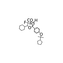 CC(C)(Oc1ccc(C(=O)OC(C2CCCCC2)C(F)(F)C(=O)O)cc1)C1CCCC1